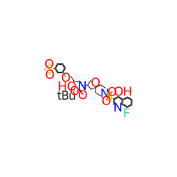 CC(C)(C)OC(=O)N(C[C@H](O)COc1cccc(S(C)(=O)=O)c1)[C@H]1COC2(CCN(S(=O)(=O)c3cnc4c(F)cccc4c3O)CC2)C1